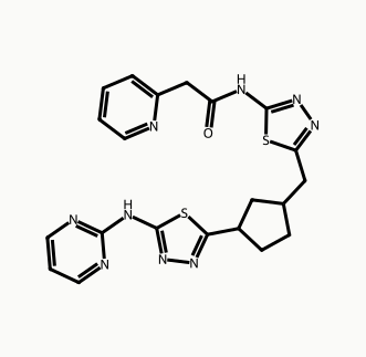 O=C(Cc1ccccn1)Nc1nnc(CC2CCC(c3nnc(Nc4ncccn4)s3)C2)s1